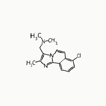 Cc1nc2c3cccc(Cl)c3ccn2c1CN(C)C